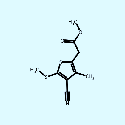 COC(=O)Cc1sc(SC)c(C#N)c1C